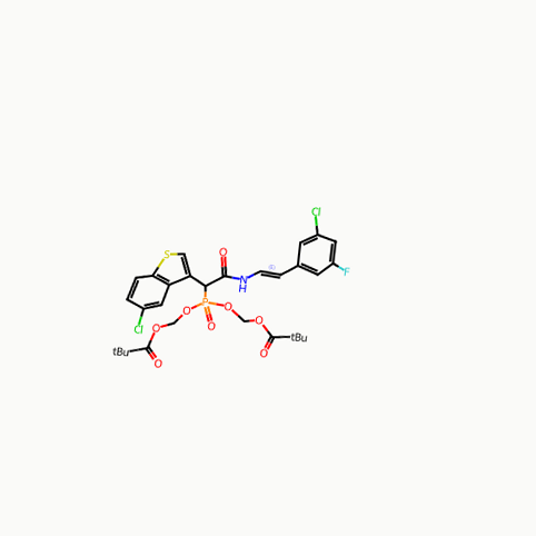 CC(C)(C)C(=O)OCOP(=O)(OCOC(=O)C(C)(C)C)C(C(=O)N/C=C/c1cc(F)cc(Cl)c1)c1csc2ccc(Cl)cc12